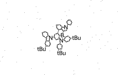 CC(C)(C)c1ccc(N2c3ccc(C(C)(C)C)cc3B3c4c(cc(-n5c6ccccc6c6cc(C(C)(C)C)ccc65)cc42)-c2cccc4c2c3cn4-c2ccccc2)cc1